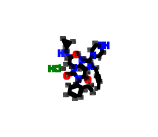 CC#CCn1c(N2CCNCC2)nc2c1c(=O)n(-c1ccccc1CC)c(=O)n2CC(=O)NC1CC1.Cl